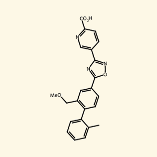 COCc1cc(-c2nc(-c3ccc(C(=O)O)nc3)no2)ccc1-c1ccccc1C